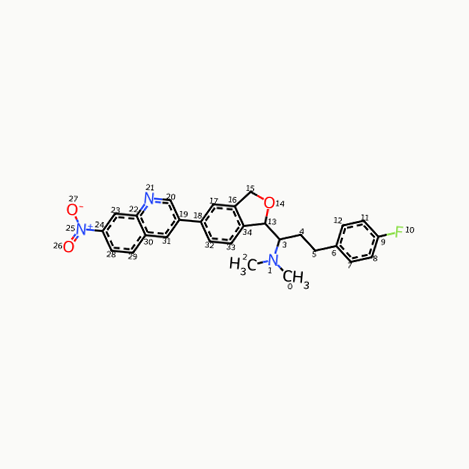 CN(C)C(CCc1ccc(F)cc1)C1OCc2cc(-c3cnc4cc([N+](=O)[O-])ccc4c3)ccc21